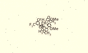 COC(=O)C(C)(C)Cc1ccc(OC)c(C2=C(CN3C(=O)O[C@H](c4cc(C(F)(F)F)cc(C(F)(F)F)c4)[C@@H]3C)CC(C)(C)CC2)c1